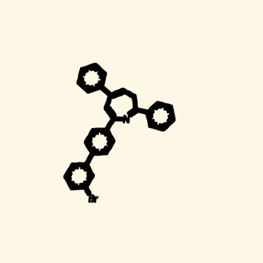 Brc1cccc(-c2ccc(C3=CC(c4ccccc4)=CCC(c4ccccc4)=N3)cc2)c1